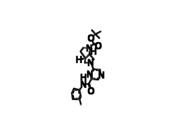 Cc1cccc(NC(=O)c2cncc(N3C[C@@H]4CCN(C(=O)OC(C)(C)C)[C@@H]4C3)n2)c1